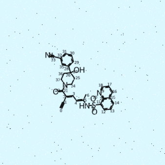 C#C/C(=C\C=C(/C)NS(=O)(=O)c1cccc2cccnc12)C(=O)N1CCC(O)(c2cccc(C#N)c2)CC1